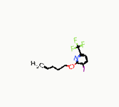 C=CCCCOc1nc(C(F)(F)F)ccc1I